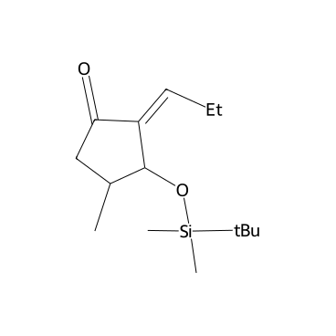 CCC=C1C(=O)CC(C)C1O[Si](C)(C)C(C)(C)C